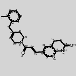 Cc1ccccc1CC1=CCN(C(=O)C=Cc2cnc3c(c2)CCC(=O)N3)CC1